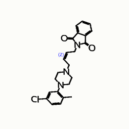 Cc1ccc(Cl)cc1N1CCN(C/C=C\CN2C(=O)c3ccccc3C2=O)CC1